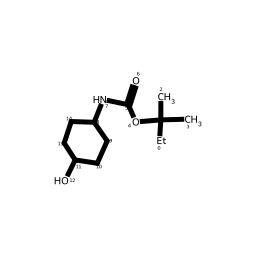 CCC(C)(C)OC(=O)NC1CCC(O)CC1